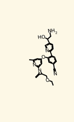 C=C1C(COCC)N1c1cc(Oc2cc(C#N)ccc2-c2ccc(C(O)CN)cn2)cc(C)n1